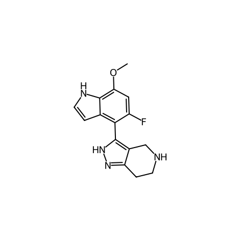 COc1cc(F)c(-c2[nH]nc3c2CNCC3)c2cc[nH]c12